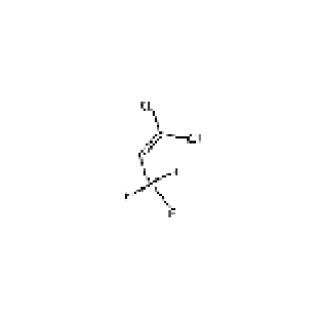 FC(F)(F)C=C(Cl)Cl